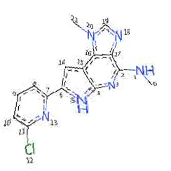 CNc1nc2[nH]c(-c3cccc(Cl)n3)cc2c2c1ncn2C